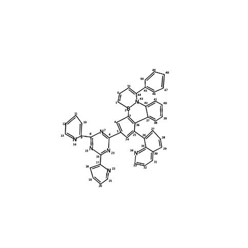 C1=CB2c3cc(-c4nc(-c5ccccn5)nc(-c5ccccn5)n4)cc(-c4cccc5cccnc45)c3-c3ccccc3N2C(c2ccccc2)=C1